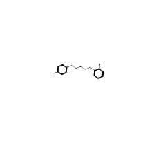 Cc1ccc(CCCC[CH]c2ccccc2C)cc1